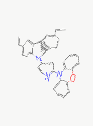 C=Cc1ccc2c(c1)c1cc(C=C)ccc1n2-c1ccnc(N2c3ccccc3Oc3ccccc32)c1